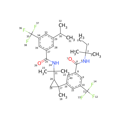 CCC(C)(C)NC(=O)c1cc(C(F)(F)F)cc(C2(C)CC2C(C)(C)NC(=O)c2cc(C(C)C)cc(C(F)(F)F)c2)c1